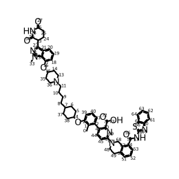 Cc1c(OC2CCC(CCCCN3CCC(Oc4cccc5c(C6CCC(=O)NC6=O)nn(C)c45)CC3)CC2)cccc1-c1ccc(N2CCc3cccc(C(=O)Nc4nc5ccccc5s4)c3C2)nc1C(=O)O